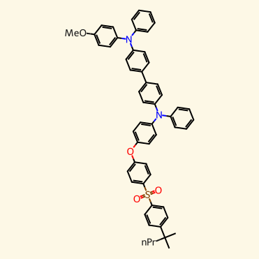 CCCC(C)(C)c1ccc(S(=O)(=O)c2ccc(Oc3ccc(N(c4ccccc4)c4ccc(-c5ccc(N(c6ccccc6)c6ccc(OC)cc6)cc5)cc4)cc3)cc2)cc1